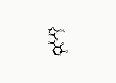 Cn1nnnc1NC(=O)c1ccnc(Cl)c1Cl